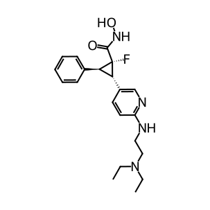 CCN(CC)CCNc1ccc([C@@H]2[C@@H](c3ccccc3)[C@@]2(F)C(=O)NO)cn1